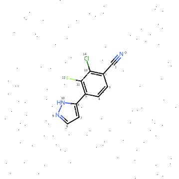 N#Cc1ccc(-c2ccn[nH]2)c(F)c1Cl